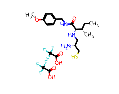 CC[C@H](C)[C@H](NC[C@@H](N)CS)C(=O)NCc1ccc(OC)cc1.O=C(O)C(F)(F)F.O=C(O)C(F)(F)F